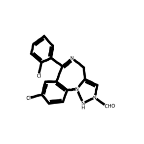 O=CN1C=C2CN=C(c3ccccc3Cl)c3cc(Cl)ccc3N2N1